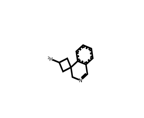 [2H]C1CC2(CN=Cc3ccccc32)C1